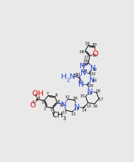 Cc1cc(C(=O)O)ccc1N1CCN(C[C@@H]2CCCN(c3nc(N)n4nc(-c5ccco5)nc4n3)C2)CC1